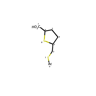 CC(=O)SCC1CCC(C(=O)O)S1